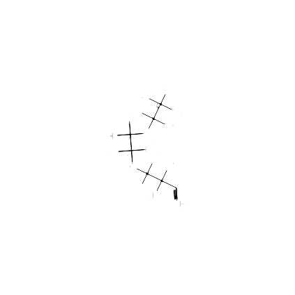 C=CC(F)(F)C(F)(F)OC(F)(F)C(F)(OC(F)(F)C(F)(F)C(F)(F)F)C(F)(F)F